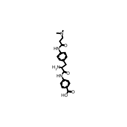 CN(C)CCC(=O)Nc1ccc(CC(N)C(=O)Nc2ccc(C(=O)O)cc2)cc1